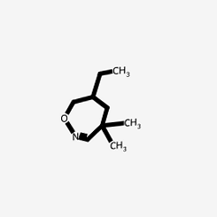 CCC1CON=CC(C)(C)C1